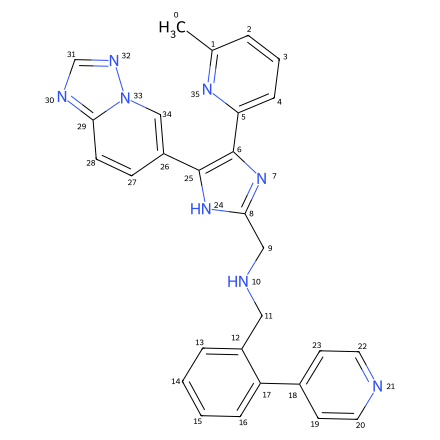 Cc1cccc(-c2nc(CNCc3ccccc3-c3ccncc3)[nH]c2-c2ccc3ncnn3c2)n1